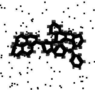 c1ccc(N(c2ccccc2)c2cccc3oc4c5ccccc5c(-c5cccc(-c6ccc7ccc8cccc9ccc6c7c89)c5)cc4c23)cc1